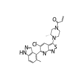 C=CC(=O)N1CCN(c2snc3nc(-c4c(C)ccc5[nH]ncc45)c(Cl)cc23)[C@H](C)C1